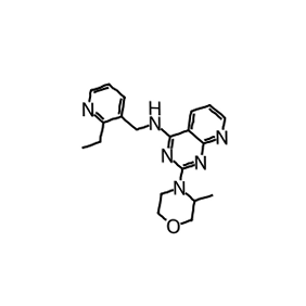 CCc1ncccc1CNc1nc(N2CCOCC2C)nc2ncccc12